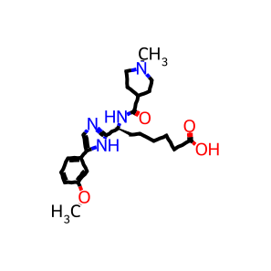 COc1cccc(-c2cnc([C@H](CCCCCC(=O)O)NC(=O)C3CCN(C)CC3)[nH]2)c1